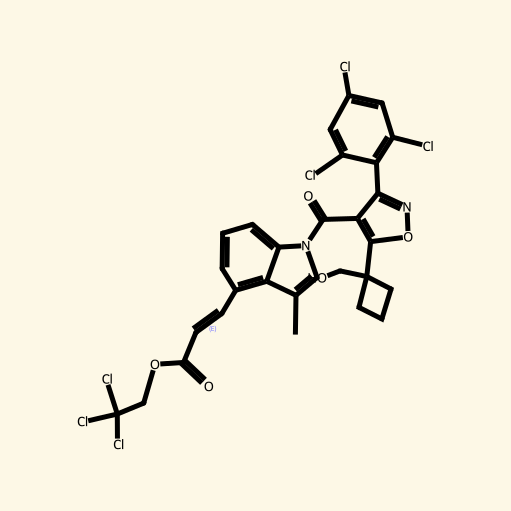 Cc1cn(C(=O)c2c(-c3c(Cl)cc(Cl)cc3Cl)noc2C2(CO)CCC2)c2cccc(/C=C/C(=O)OCC(Cl)(Cl)Cl)c12